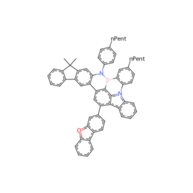 CCCCCc1ccc(N2B3c4cc(CCCCC)ccc4-n4c5ccccc5c5c(-c6ccc7c(c6)oc6ccccc67)cc(c3c54)-c3cc4c(cc32)C(C)(C)c2ccccc2-4)cc1